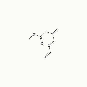 C=C(COC=O)CC(=O)OC